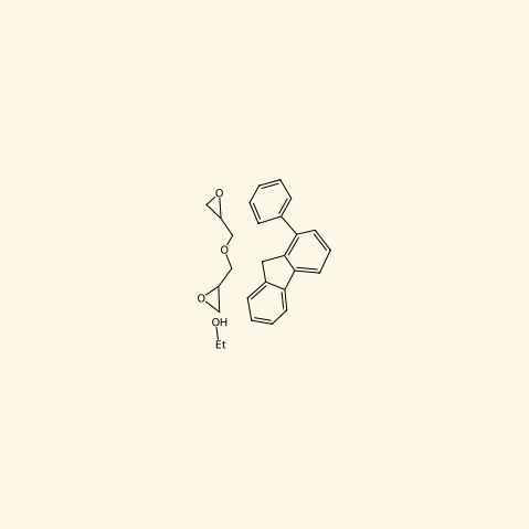 C(OCC1CO1)C1CO1.CCO.c1ccc(-c2cccc3c2Cc2ccccc2-3)cc1